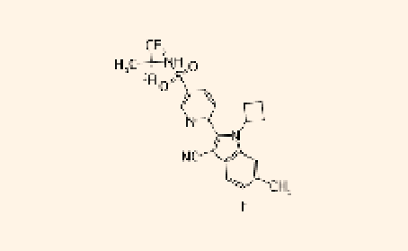 [2H][C@@](C)(NS(=O)(=O)c1ccc(-c2c(C#N)c3cc(F)c(C)cc3n2C2CCC2)nc1)C(F)(F)F